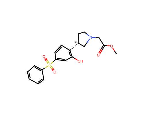 COC(=O)CN1CC[C@@H](c2ccc(S(=O)(=O)c3ccccc3)cc2O)C1